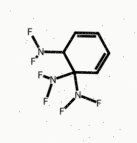 FN(F)C1C=CC=CC1(N(F)F)N(F)F